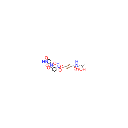 CC(C)C[C@H](NC(=O)CCSSCCOC(=O)Nc1cccc2c1C(=O)N(C1CCC(=O)NC1=O)C2=O)C(=O)O